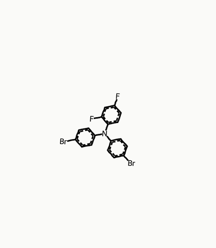 Fc1ccc(N(c2ccc(Br)cc2)c2ccc(Br)cc2)c(F)c1